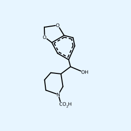 O=C(O)N1CCCC(C(O)c2ccc3c(c2)OCO3)C1